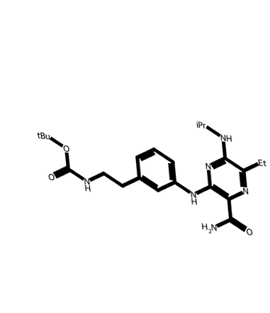 CCc1nc(C(N)=O)c(Nc2cccc(CCNC(=O)OC(C)(C)C)c2)nc1NC(C)C